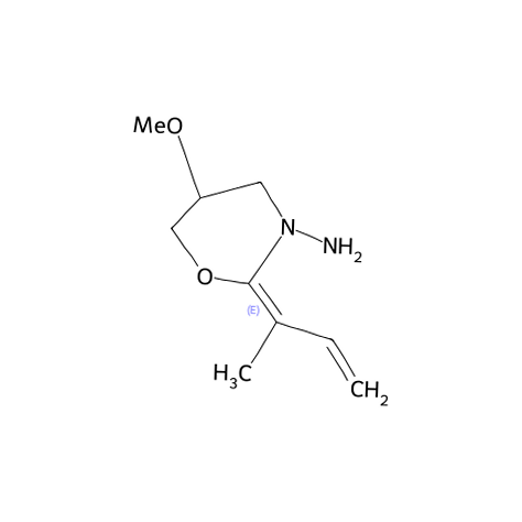 C=C/C(C)=C1/OCC(OC)CN1N